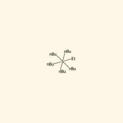 CCCCS(CC)(CCCC)(CCCC)(CCCC)CCCC